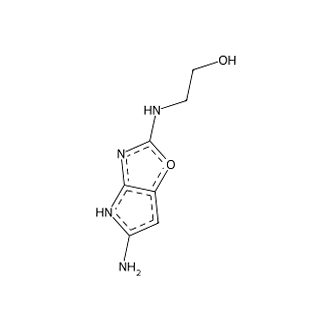 Nc1cc2oc(NCCO)nc2[nH]1